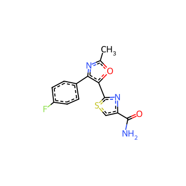 Cc1nc(-c2ccc(F)cc2)c(-c2nc(C(N)=O)cs2)o1